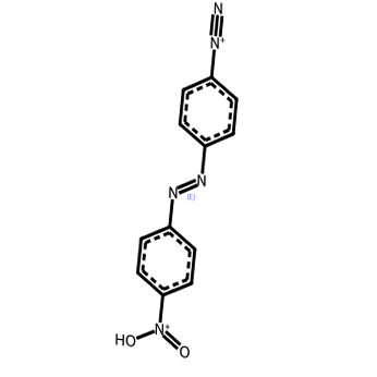 N#[N+]c1ccc(/N=N/c2ccc([N+](=O)O)cc2)cc1